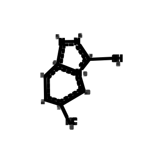 [C-]#[N+]c1ccc2nnc(S)n2c1